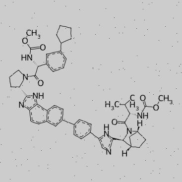 COC(=O)N[C@H](C(=O)N1[C@@H]2CC[C@@H](C2)[C@H]1c1ncc(-c2ccc(-c3ccc4c(ccc5nc([C@@H]6CCCN6C(=O)[C@H](NC(=O)OC)c6cccc(C7CCCC7)c6)[nH]c54)c3)cc2)[nH]1)C(C)C